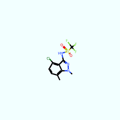 Cc1ccc(Cl)c2c(NS(=O)(=O)C(F)(F)F)nn(C)c12